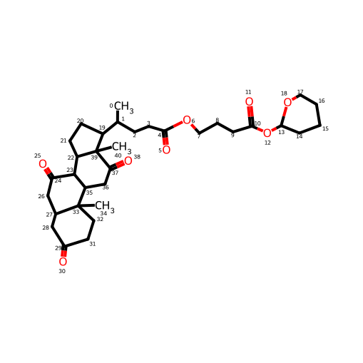 CC(CCC(=O)OCCCC(=O)OC1CCCCO1)C1CCC2C3C(=O)CC4CC(=O)CCC4(C)C3CC(=O)C12C